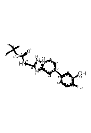 CC(C)(C)OC(=O)Nc1nc2cc(-c3ccc(F)c(O)c3)ccn2n1